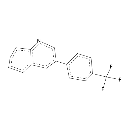 FC(F)(F)c1ccc(-c2cnc3ccccc3c2)cc1